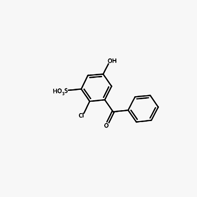 O=C(c1ccccc1)c1cc(O)cc(S(=O)(=O)O)c1Cl